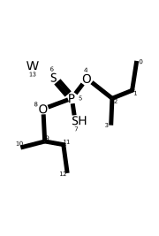 CCC(C)OP(=S)(S)OC(C)CC.[W]